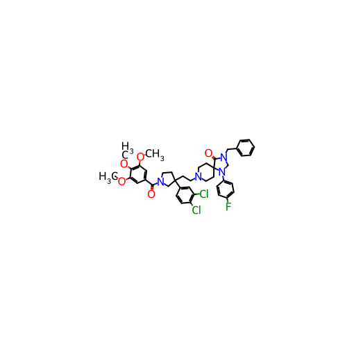 COc1cc(C(=O)N2CCC(CCN3CCC4(CC3)C(=O)N(Cc3ccccc3)CN4c3ccc(F)cc3)(c3ccc(Cl)c(Cl)c3)C2)cc(OC)c1OC